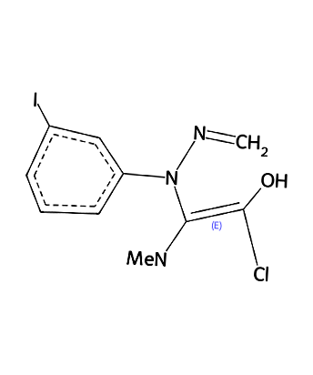 C=NN(/C(NC)=C(\O)Cl)c1cccc(I)c1